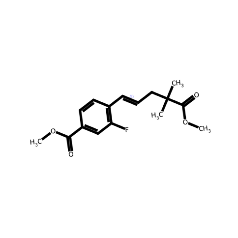 COC(=O)c1ccc(/C=C/CC(C)(C)C(=O)OC)c(F)c1